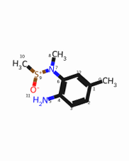 Cc1ccc(N)c(N(C)[S+](C)[O-])c1